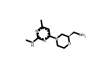 CNc1nc(C)cc(N2CCO[C@H](CN)C2)n1